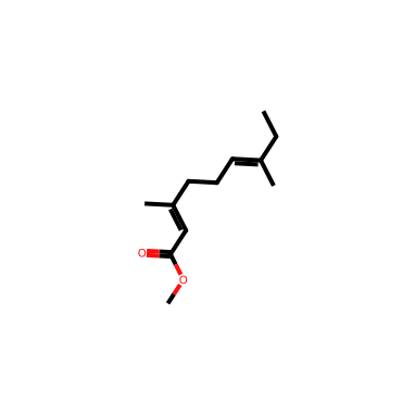 CCC(C)=CCCC(C)=CC(=O)OC